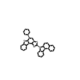 c1ccc(-c2cc3sc(-n4c5ccccc5c5c6ccccc6ccc54)nc3c3c2sc2ccccc23)cc1